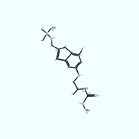 CC(COc1cc(F)c2c(c1)C=C(CO[Si](C)(C)C(C)(C)C)C2)NC(=O)OC(C)(C)C